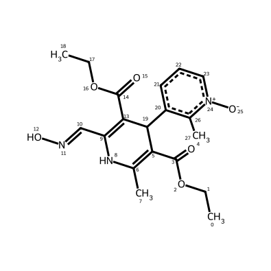 CCOC(=O)C1=C(C)NC(C=NO)=C(C(=O)OCC)C1c1ccc[n+]([O-])c1C